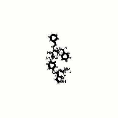 C[C@@H](NC(=O)[C@H](CCc1ccccc1)NC(=O)Nc1ccc(Oc2nc(N)nc3[nH]ccc23)cc1)c1ccccc1